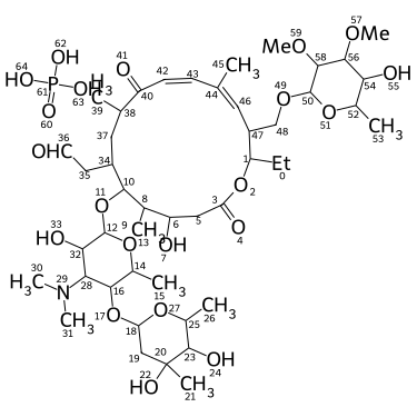 CCC1OC(=O)CC(O)C(C)C(OC2OC(C)C(OC3CC(C)(O)C(O)C(C)O3)C(N(C)C)C2O)C(CC=O)CC(C)C(=O)C=CC(C)=CC1COC1OC(C)C(O)C(OC)C1OC.O=P(O)(O)O